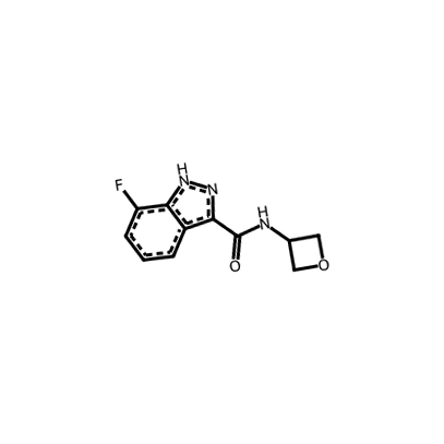 O=C(NC1COC1)c1n[nH]c2c(F)cccc12